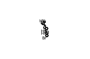 O=C(Nc1cc(Br)ccc1F)Nc1cccc2c1CCN2Cc1ccnc2[nH]ccc12